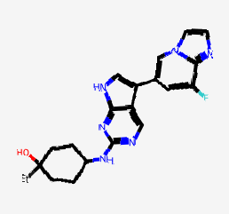 CCC1(O)CCC(Nc2ncc3c(-c4cc(F)c5nccn5c4)c[nH]c3n2)CC1